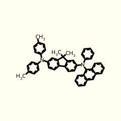 Cc1ccc(N(c2ccc(C)cc2)c2ccc3c(c2)C(C)(C)c2cc(N(c4ccccc4)c4c5ccccc5cc5ccccc45)ccc2-3)cc1